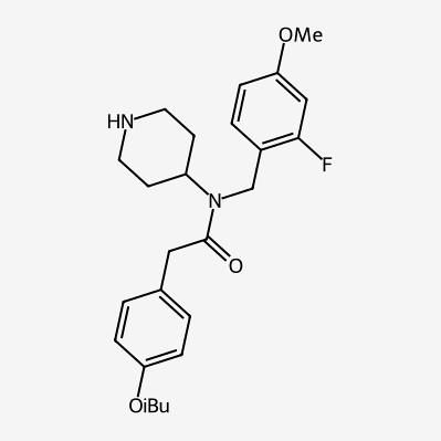 COc1ccc(CN(C(=O)Cc2ccc(OCC(C)C)cc2)C2CCNCC2)c(F)c1